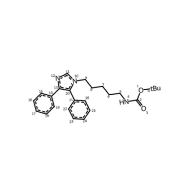 CC(C)(C)OC(=O)NCCCCCn1cnc(-c2ccccc2)c1-c1ccccc1